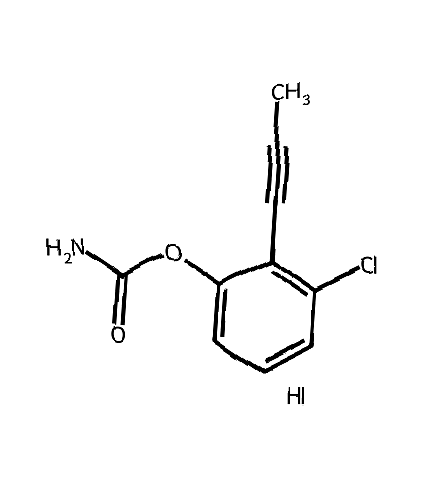 CC#Cc1c(Cl)cccc1OC(N)=O.I